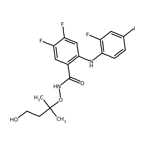 CC(C)(CCO)ONC(=O)c1cc(F)c(F)cc1Nc1ccc(I)cc1F